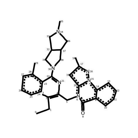 CC/C(C)=C(Cn1c(=O)c2ccccc2n2nc(C)cc12)/N=C(\c1ccccc1C)N1CC2CN(C)CC2C1